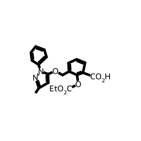 CCOC(=O)Oc1c(COc2cc(C)nn2-c2ccccc2)cccc1C(=O)O